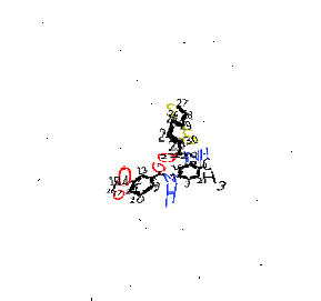 Cc1ccc(NC(=O)c2ccc3c(c2)OCCO3)cc1NC(=O)c1cc2sccc2s1